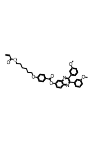 C=CC(=O)OCCCCCCOc1ccc(C(=O)Oc2ccc3nc(-c4cccc(OC)c4)c(-c4cccc(OC)c4)nc3c2)cc1